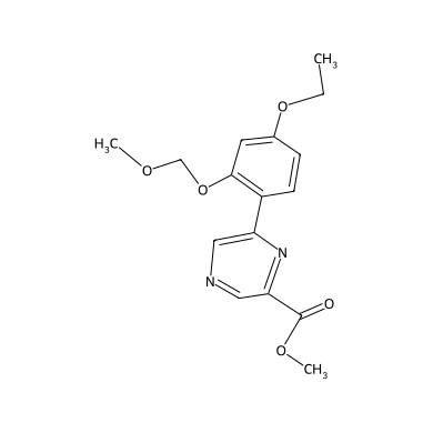 CCOc1ccc(-c2cncc(C(=O)OC)n2)c(OCOC)c1